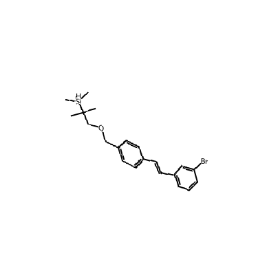 C[SiH](C)C(C)(C)COCc1ccc(/C=C/c2cccc(Br)c2)cc1